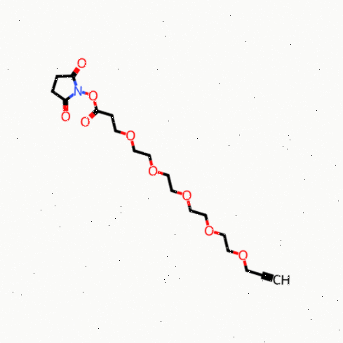 C#CCOCCOCCOCCOCCOCCC(=O)ON1C(=O)CCC1=O